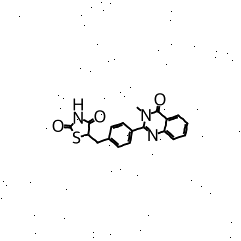 Cn1c(-c2ccc(CC3SC(=O)NC3=O)cc2)nc2ccccc2c1=O